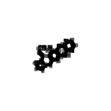 O=C(O)C=Cc1nccn1Cc1ccc2c(c1)Nc1nccnc1S2